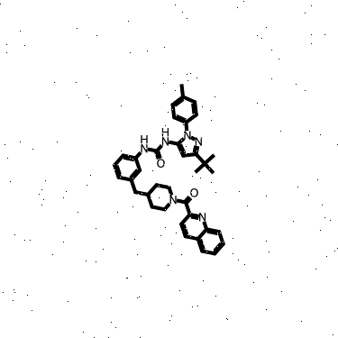 Cc1ccc(-n2nc(C(C)(C)C)cc2NC(=O)Nc2cccc(CC3CCN(C(=O)c4ccc5ccccc5n4)CC3)c2)cc1